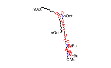 CCCCCCCC/C=C\CCCCCCCCOCC(OCCCCCCCC/C=C\CCCCCCCC)C(=O)N(CCCCCCCC)CCOCCOCCOCCOCCOC(=O)CN(CCOC(=O)CN(CCOC)C(=O)OC(C)(C)C)C(=O)OC(C)(C)C